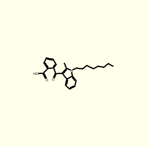 CCCCCCCCn1c(C)c(C(=O)c2ccccc2C(=O)O)c2ccccc21